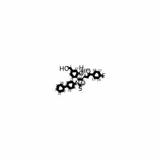 OCc1ccc([C@@H]2[C@@H](CC[C@H](O)c3ccc(F)cc3)OC(=S)N2c2ccc(-c3ccccc3)cc2)c(O)c1